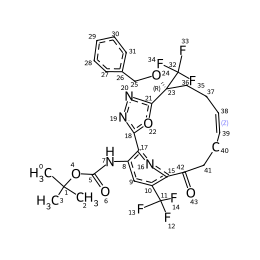 CC(C)(C)OC(=O)Nc1cc(C(F)(F)F)c2nc1-c1nnc(o1)[C@@](OCc1ccccc1)(C(F)(F)F)CC/C=C\CCC2=O